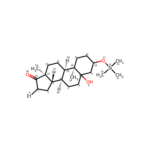 CCC1C[C@H]2[C@@H]3CCC4(O)CC(O[Si](C)(C)C)CC[C@]4(C)[C@@H]3CC[C@]2(C)C1=O